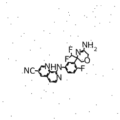 N#Cc1cnc2c(Nc3ccc(F)c(C4(C(F)F)COCC(N)=N4)c3)nccc2c1